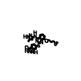 Cc1cc(Nc2nc(Sc3ccc4c(=O)[nH][nH]c4c3)nc3c(OCCCN(C)C)cccc23)n[nH]1